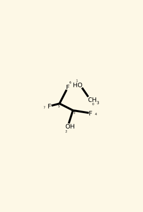 CO.OC(F)C(F)F